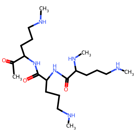 CNCCCC(NC(=O)C(CCCNC)NC(=O)C(CCCNC)NC)C(C)=O